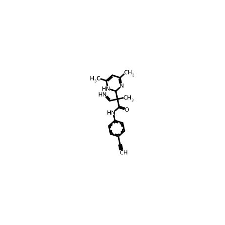 C#Cc1ccc(NC(=O)C(C)(C=N)C2N=C(C)C=C(C)N2)cc1